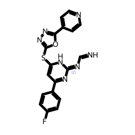 N=C/N=c1/nc(-c2ccc(F)cc2)cc(Sc2nnc(-c3ccncc3)o2)[nH]1